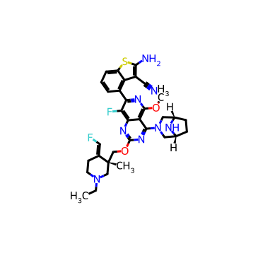 CCN1CC/C(=C\F)[C@](C)(COc2nc(N3C[C@H]4CC[C@@H](C3)N4)c3c(OC)nc(-c4cccc5sc(N)c(C#N)c45)c(F)c3n2)C1